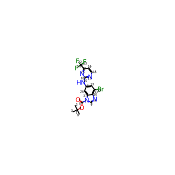 CC(C)(C)OC(=O)n1cnc2c(Br)cc(Nc3nccc(C(F)(F)F)n3)cc21